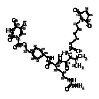 CC(C)C(NC(=O)CCCCCN1C(=O)C=CC1=O)C(=O)N[C@@H](CCCNC(N)=O)C(=O)Nc1ccc(COC(=O)n2cc(F)c(=O)[nH]c2=O)cc1